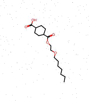 CCCCCCCOCCOC(=O)C1CCC(C(=O)O)CC1